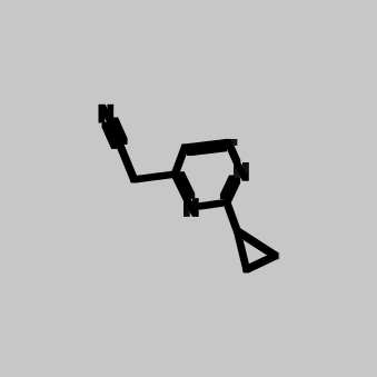 N#CCc1c[c]nc(C2CC2)n1